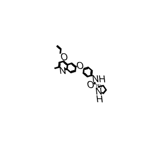 C=CCOc1cc(C)nc2ccc(Oc3ccc(NC(=O)[C@@H]4CCCN4)cc3)cc12